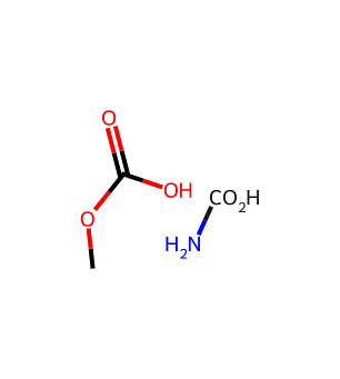 COC(=O)O.NC(=O)O